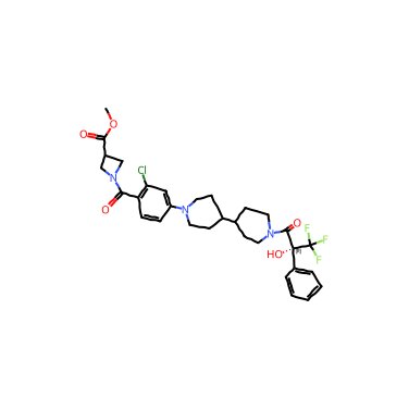 COC(=O)C1CN(C(=O)c2ccc(N3CCC(C4CCN(C(=O)[C@](O)(c5ccccc5)C(F)(F)F)CC4)CC3)cc2Cl)C1